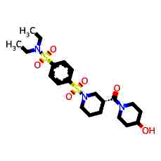 CCN(CC)S(=O)(=O)c1ccc(S(=O)(=O)N2CCC[C@@H](C(=O)N3CCC(O)CC3)C2)cc1